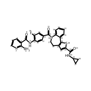 Bc1ncccc1C(=O)Nc1ccc(C(=O)N2CCc3cc(C(=O)NC4CC4)sc3-c3ccccc32)cc1F